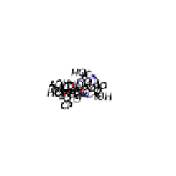 CCc1c(Cl)c(C)c(Cl)c(O)c1C(=O)O[C@H]1[C@H](O)[C@H](OC)[C@H](OC/C2=C\C=C\C[C@H](O)/C(C)=C/[C@H](CC)[C@@H](OC3OC(C)(C)[C@@H](OC(=O)C(C)C)[C@H](O)[C@@H]3O)/C(C)=C/C(C)=C/C[C@@H]([C@@H](C)O)OC2=O)O[C@@H]1C